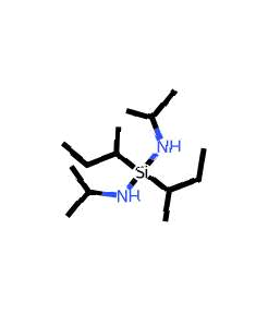 CCC(C)[Si](NC(C)C)(NC(C)C)C(C)CC